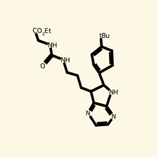 CCOC(=O)CNC(=O)NCCCC1c2nccnc2NC1c1ccc(C(C)(C)C)cc1